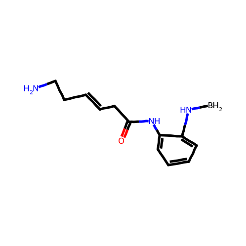 BNc1ccccc1NC(=O)C/C=C/CCN